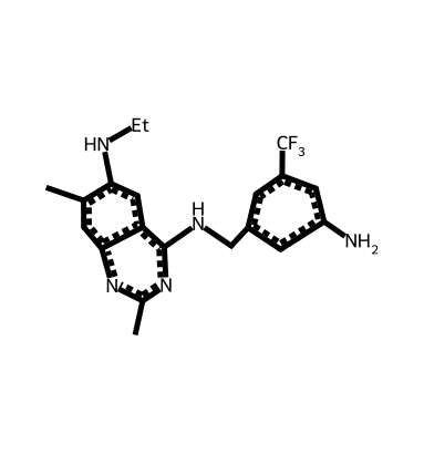 CCNc1cc2c(NCc3cc(N)cc(C(F)(F)F)c3)nc(C)nc2cc1C